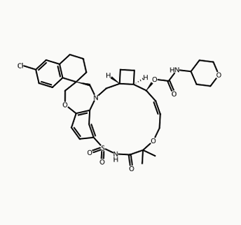 CC1(C)OCC=C[C@H](OC(=O)NC2CCOCC2)[C@@H]2CC[C@H]2CN2C[C@@]3(CCCc4cc(Cl)ccc43)COc3ccc(cc32)S(=O)(=O)NC1=O